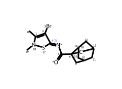 Cc1c(Br)/c(=N/C(=O)C23CC4CC(CC2C4)C3)sn1C